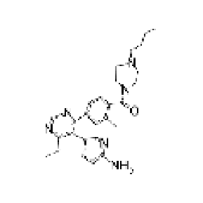 CCCCN1CCN(C(=O)c2ccc(-c3ncnc(CC)c3-c3ccc(N)nc3)cc2C)CC1